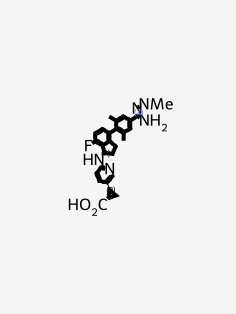 CN/N=C(\N)c1cc(C)c(-c2ccc(F)c3c2CC[C@H]3Nc2ccc([C@@H]3CC3C(=O)O)cn2)c(C)c1